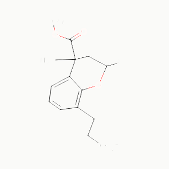 CCOC(=O)CCc1cccc2c1OC(C)CC2(C)C(=O)OC(C)(C)C